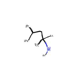 CCC(CC)(CC(C(C)C)C(C)C)NC(C)C